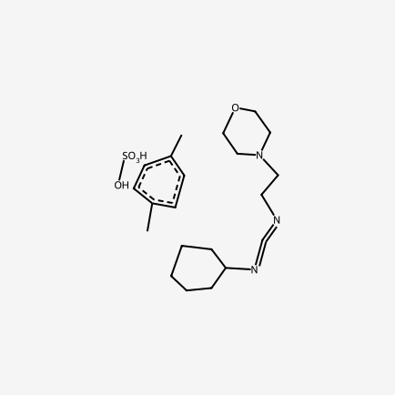 C(=NCCN1CCOCC1)=NC1CCCCC1.Cc1ccc(C)cc1.O=S(=O)(O)O